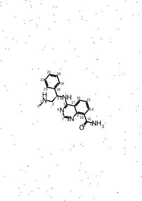 CNC[C@H](Nc1ncnc2c(C(N)=O)cccc12)c1ccccc1